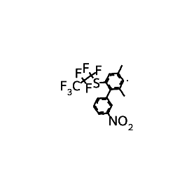 Cc1[c]c(C)c(-c2cccc([N+](=O)[O-])c2)c(SC(F)(F)C(F)(F)C(F)(F)F)c1